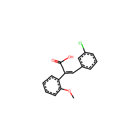 COc1ccccc1C(=Cc1cccc(Cl)c1)C(=O)O